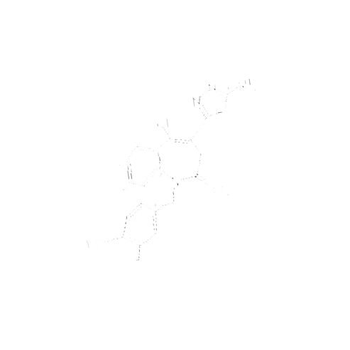 Cc1ccc(CN2C(=O)CC(c3nnc(N)s3)=C(Cl)c3ccccc32)cc1F